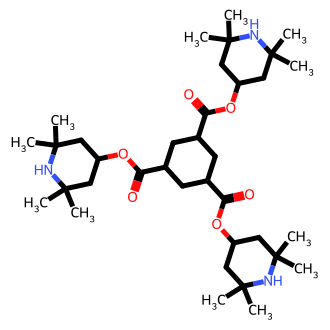 CC1(C)CC(OC(=O)C2CC(C(=O)OC3CC(C)(C)NC(C)(C)C3)CC(C(=O)OC3CC(C)(C)NC(C)(C)C3)C2)CC(C)(C)N1